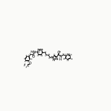 O=C(Cc1cccc(OC(F)(F)F)c1)Nc1ccc(CCCCn2cc(C(=O)NCc3ccccn3)nn2)nn1